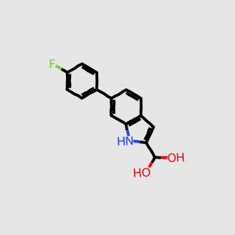 OC(O)c1cc2ccc(-c3ccc(F)cc3)cc2[nH]1